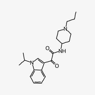 CCCN1CCC(NC(=O)C(=O)c2cn(C(C)C)c3ccccc23)CC1